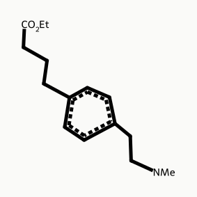 CCOC(=O)CCCc1ccc(CCNC)cc1